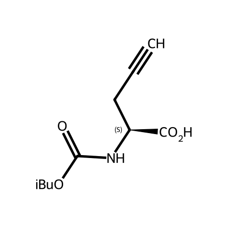 C#CC[C@H](NC(=O)OCC(C)C)C(=O)O